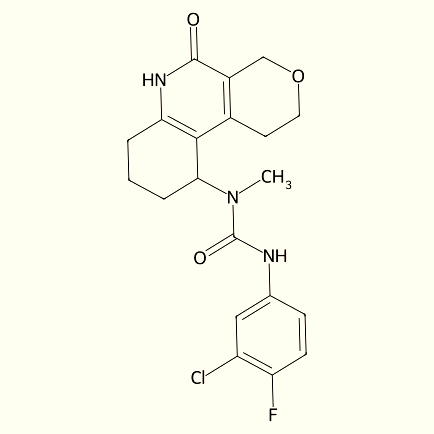 CN(C(=O)Nc1ccc(F)c(Cl)c1)C1CCCc2[nH]c(=O)c3c(c21)CCOC3